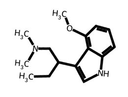 CCC(CN(C)C)c1c[nH]c2cccc(OC)c12